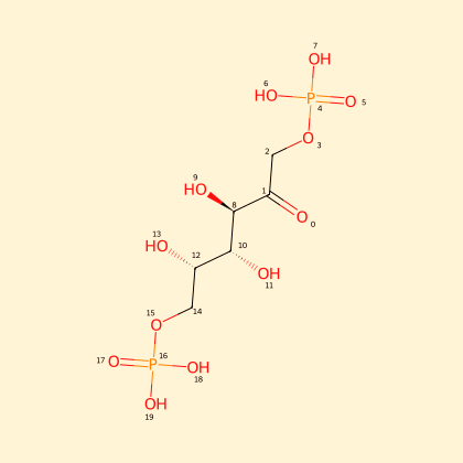 O=C(COP(=O)(O)O)[C@H](O)[C@H](O)[C@@H](O)COP(=O)(O)O